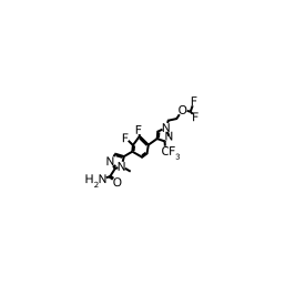 Cn1c(-c2ccc(-c3cn(CCOC(F)F)nc3C(F)(F)F)c(F)c2F)cnc1C(N)=O